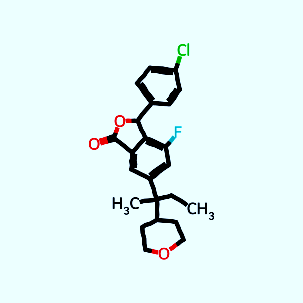 CCC(C)(c1cc(F)c2c(c1)C(=O)OC2c1ccc(Cl)cc1)C1CCOCC1